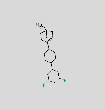 CC12CCC(C3CCC(C4CC(F)CC(F)C4)CC3)=C(C1)C2